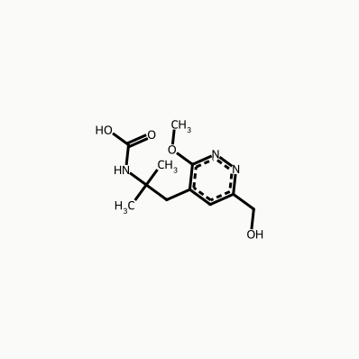 COc1nnc(CO)cc1CC(C)(C)NC(=O)O